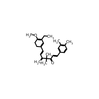 C=C(/C=C/C1=CC(CC)=C(OP)CC1)C(C)(C)C(=O)/C=C/c1ccc(C)c(C)c1